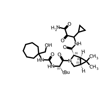 CC(C)(C)[C@H](NC(=O)NC1(CO)CCCCCC1)C(=O)N1C[C@H]2[C@@H]([C@H]1C(=O)NC(C(=O)C(N)=O)C1CC1)C2(C)C